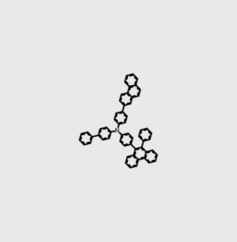 c1ccc(-c2ccc(N(c3ccc(-c4ccc5c(ccc6ccccc65)c4)cc3)c3ccc(-c4c(-c5ccccc5)c5ccccc5c5ccccc45)cc3)cc2)cc1